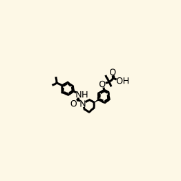 CC(C)c1ccc(NC(=O)N2CCC[C@H](c3cccc(OC(C)(C)C(=O)O)c3)C2)cc1